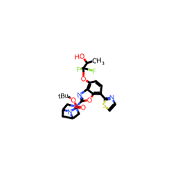 CC(O)C(F)(F)Oc1ccc(-c2nccs2)c2oc(N3CC4CC(C3)N4C(=O)OC(C)(C)C)nc12